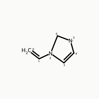 C=CN1C=C[N]C1